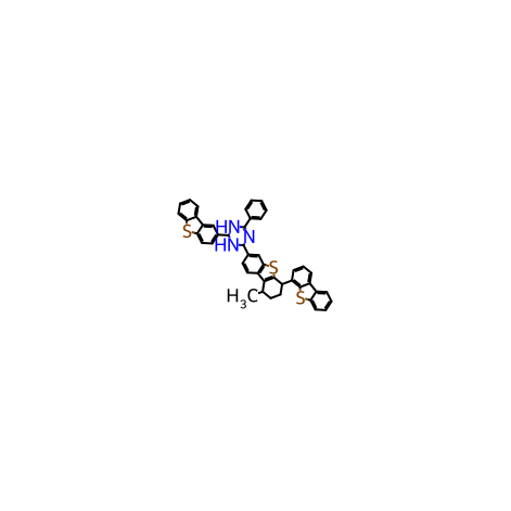 CC1CCC(c2cccc3c2sc2ccccc23)c2sc3cc(C4N=C(c5ccccc5)NC(c5ccc6sc7ccccc7c6c5)N4)ccc3c21